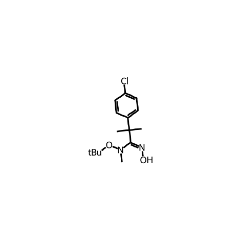 CN(OC(C)(C)C)/C(=N\O)C(C)(C)c1ccc(Cl)cc1